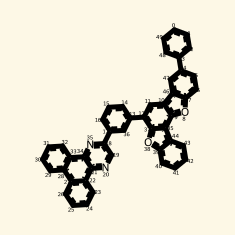 c1ccc(-c2ccc3oc4c(cc(-c5cccc(-c6cnc7c8ccccc8c8ccccc8c7n6)c5)c5oc6ccccc6c54)c3c2)cc1